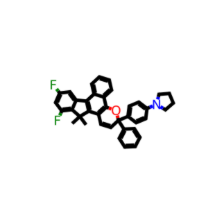 CC1(C)c2c(F)cc(F)cc2-c2c1c1c(c3ccccc23)OC(c2ccccc2)(c2ccc(N3CCCC3)cc2)C=C1